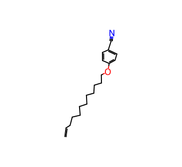 C=CCCCCCCCCCCOc1ccc(C#N)cc1